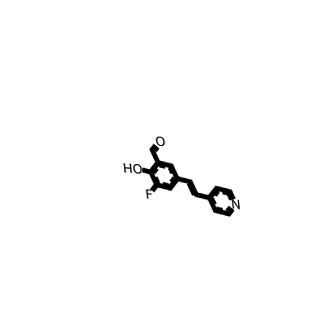 O=Cc1cc(C=Cc2ccncc2)cc(F)c1O